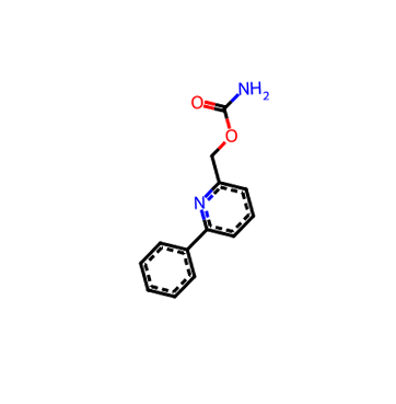 NC(=O)OCc1cccc(-c2ccccc2)n1